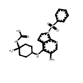 CC1(NC(=O)O)CCC(Nc2c(N)cnc3c2ccn3S(=O)(=O)c2ccccc2)CC1